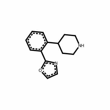 c1ccc(C2CCNCC2)c(-c2ncco2)c1